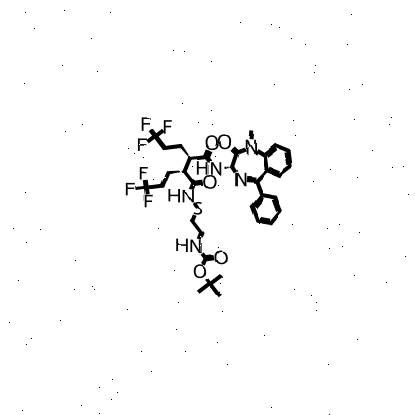 CN1C(=O)[C@@H](NC(=O)[C@H](CCC(F)(F)F)[C@H](CCC(F)(F)F)C(=O)NSCCNC(=O)OC(C)(C)C)N=C(c2ccccc2)c2ccccc21